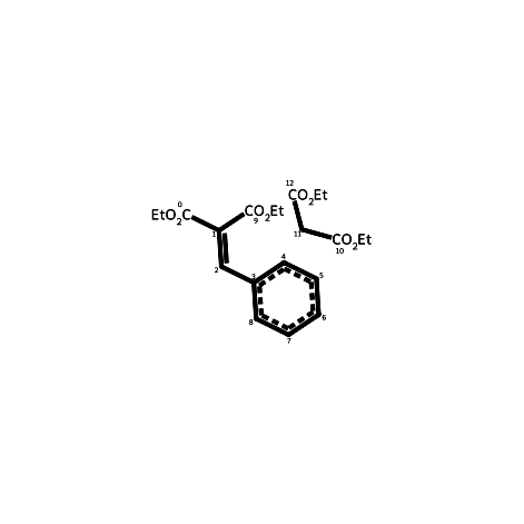 CCOC(=O)C(=Cc1ccccc1)C(=O)OCC.CCOC(=O)CC(=O)OCC